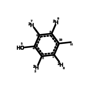 [2H]c1c([2H])c(O)c([2H])c([2H])c1C